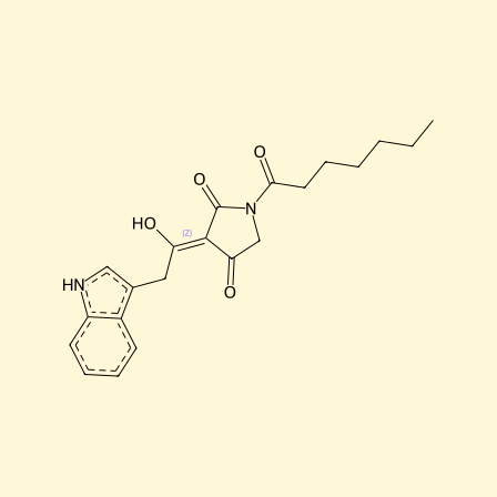 CCCCCCC(=O)N1CC(=O)/C(=C(/O)Cc2c[nH]c3ccccc23)C1=O